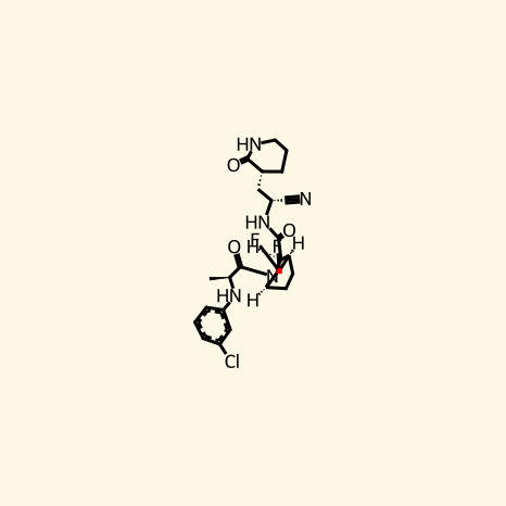 C[C@H](Nc1cccc(Cl)c1)C(=O)N1[C@@H]2CC[C@H]([C@@H]1C(=O)N[C@@H](C#N)C[C@H]1CCCNC1=O)C(F)(F)C2